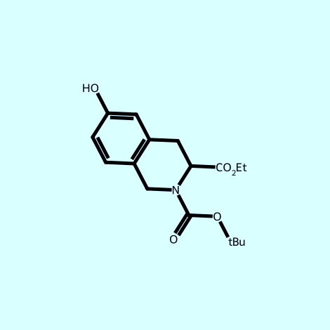 CCOC(=O)C1Cc2cc(O)ccc2CN1C(=O)OC(C)(C)C